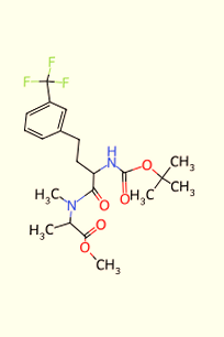 COC(=O)C(C)N(C)C(=O)C(CCc1cccc(C(F)(F)F)c1)NC(=O)OC(C)(C)C